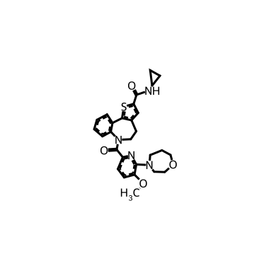 COc1ccc(C(=O)N2CCc3cc(C(=O)NC4CC4)sc3-c3ccccc32)nc1N1CCCOCC1